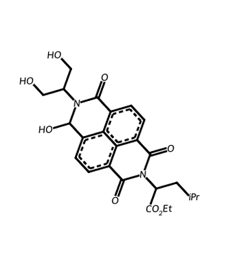 CCOC(=O)C(CC(C)C)N1C(=O)c2ccc3c4c(ccc(c24)C1=O)C(O)N(C(CO)CO)C3=O